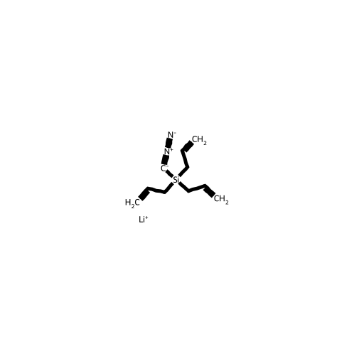 C=CC[Si]([C-]=[N+]=[N-])(CC=C)CC=C.[Li+]